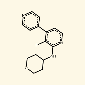 Fc1c(-c2ccncc2)ccnc1NC1CCOCC1